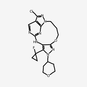 FC1(c2c3c(nn2C2CCOCC2)OCCCn2nc(Cl)c4cnc(nc42)N3)CC1